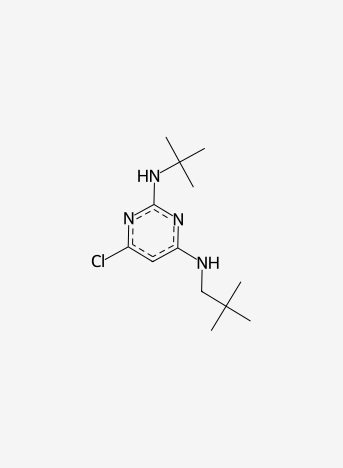 CC(C)(C)CNc1cc(Cl)nc(NC(C)(C)C)n1